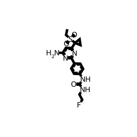 CCS(=O)(=O)C1(c2cc(N)nc(-c3ccc(NC(=O)NCCF)cc3)n2)CC1